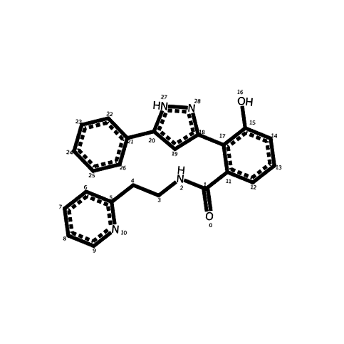 O=C(NCCc1ccccn1)c1cccc(O)c1-c1cc(-c2ccccc2)[nH]n1